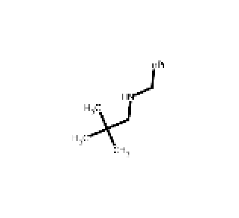 [CH2]CCCNCC(C)(C)C